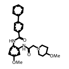 COc1ccc(NC(=O)c2ccc(-c3ccccc3)cc2)c(NC(=O)CN2CCC(OC)CC2)c1